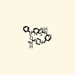 CNC(=O)N1CCN(Cc2ccnc(Nc3nc4ccc(N(C)c5ccccc5)nc4s3)c2)CC1